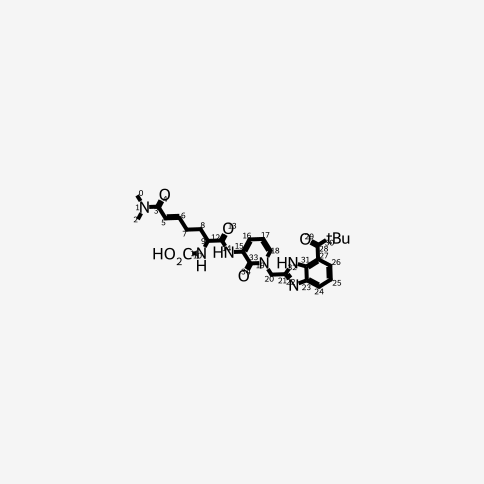 CN(C)C(=O)C=CCCC(NC(=O)O)C(=O)Nc1cccn(Cc2nc3cccc(C(=O)C(C)(C)C)c3[nH]2)c1=O